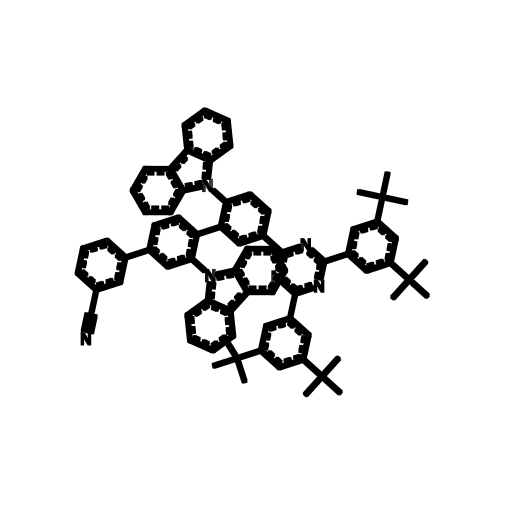 CC(C)(C)c1cc(-c2nc(-c3cc(C(C)(C)C)cc(C(C)(C)C)c3)nc(-c3ccc(-n4c5ccccc5c5ccccc54)c(-c4ccc(-c5cccc(C#N)c5)cc4-n4c5ccccc5c5ccccc54)c3)n2)cc(C(C)(C)C)c1